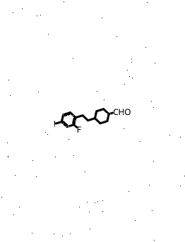 O=CC1CCC(CCc2ccc(I)cc2F)CC1